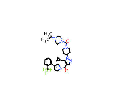 CC(C)N1CCN(C(=O)N2CCC(n3ncc(C(=O)N4CC[C@@H](c5ccccc5C(F)(F)F)C4)c3C3CC3)CC2)CC1